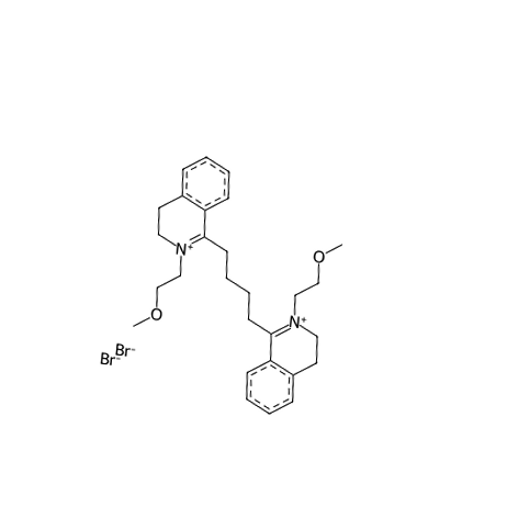 COCC[N+]1=C(CCCCC2=[N+](CCOC)CCc3ccccc32)c2ccccc2CC1.[Br-].[Br-]